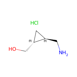 Cl.NC[C@@H]1C[C@H]1CO